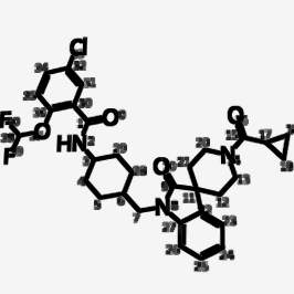 O=C(NC1CCC(CN2C(=O)C3(CCN(C(=O)C4CC4)CC3)c3ccccc32)CC1)c1cc(Cl)ccc1OC(F)F